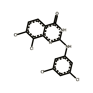 O=c1[nH]c(Nc2cc(Cl)cc(Cl)c2)nc2c(Cl)c(Cl)ccc12